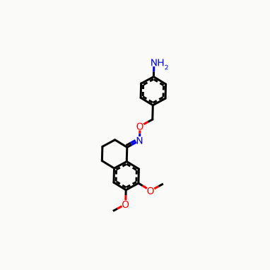 COc1cc2c(cc1OC)/C(=N/OCc1ccc(N)cc1)CCC2